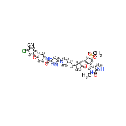 Cn1cc(-c2cc(S(C)(=O)=O)ccc2Oc2ccc(CCC3CCN(c4ccc(C(=O)NC5CCC(Oc6ccc(C#N)c(Cl)c6)CC5)nn4)CC3)cc2)c2cc[nH]c2c1=O